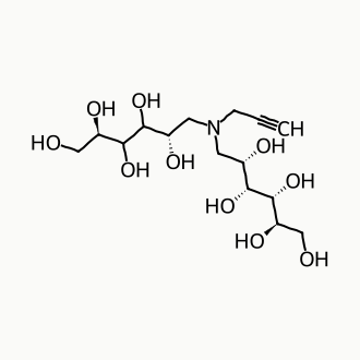 C#CCN(C[C@H](O)C(O)C(O)[C@H](O)CO)C[C@H](O)[C@@H](O)[C@H](O)[C@H](O)CO